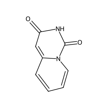 O=c1cc2ccccn2c(=O)[nH]1